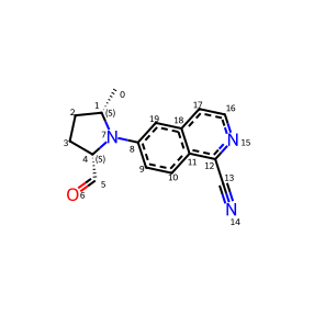 C[C@H]1CC[C@@H](C=O)N1c1ccc2c(C#N)nccc2c1